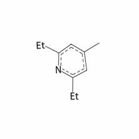 CCc1cc(C)cc(CC)n1